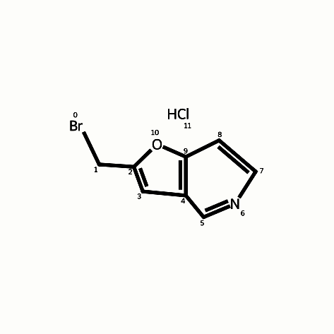 BrCc1cc2cnccc2o1.Cl